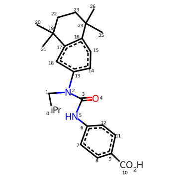 CC(C)CN(C(=O)Nc1ccc(C(=O)O)cc1)c1ccc2c(c1)C(C)(C)CCC2(C)C